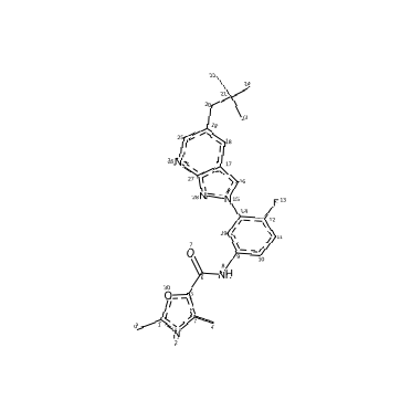 Cc1nc(C)c(C(=O)Nc2ccc(F)c(-n3cc4cc(CC(C)(C)C)cnc4n3)c2)o1